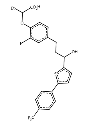 CCC(Oc1ccc(CCC(O)c2ccc(-c3ccc(C(F)(F)F)cc3)s2)cc1F)C(=O)O